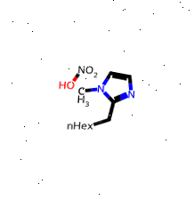 CCCCCCCc1nccn1C.O=[N+]([O-])O